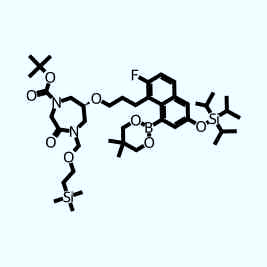 CC(C)[Si](Oc1cc(B2OCC(C)(C)CO2)c2c(CCCO[C@@H]3CN(COCC[Si](C)(C)C)C(=O)CN(C(=O)OC(C)(C)C)C3)c(F)ccc2c1)(C(C)C)C(C)C